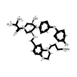 CCc1ccc(Oc2ccc([C@H]3[C@H](O)CN(C(=O)C(C)N)C[C@@H]3OCc3ccc4c(c3)N(CCCOC)CCO4)cc2)cc1